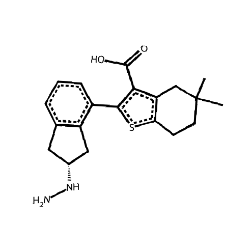 CC1(C)CCc2sc(-c3cccc4c3C[C@H](NN)C4)c(C(=O)O)c2C1